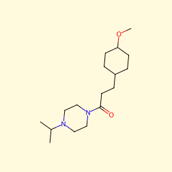 COC1CCC(CCC(=O)N2CCN(C(C)C)CC2)CC1